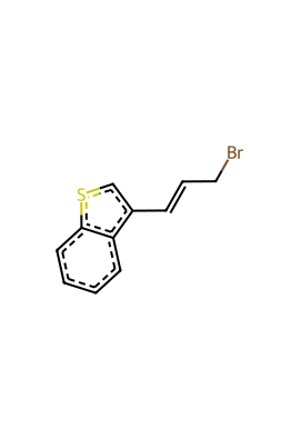 BrCC=Cc1csc2ccccc12